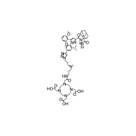 COc1cccc(OC)c1-c1cc(C(=O)NC2(C(=O)O)C3CC4CC(C3)CC2C4)nn1-c1ccc(-c2cn(CCCN(C)CCCNC(=O)CN3CCN(CC(=O)O)CCN(CC(=O)O)CCN(CC(=O)O)CC3)nn2)cc1C(C)C